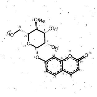 CO[C@H]1[C@H](O)[C@H](O)[C@H](Oc2ccc3ccc(=O)oc3c2)O[C@@H]1CO